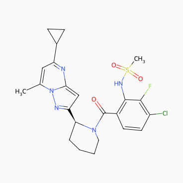 Cc1cc(C2CC2)nc2cc([C@@H]3CCCCN3C(=O)c3ccc(Cl)c(F)c3NS(C)(=O)=O)nn12